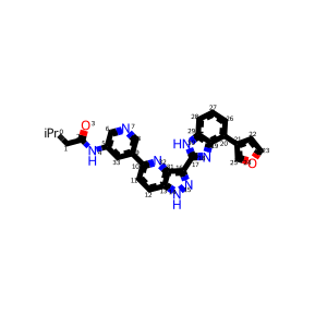 CC(C)CC(=O)Nc1cncc(-c2ccc3[nH]nc(-c4nc5c(-c6ccoc6)cccc5[nH]4)c3n2)c1